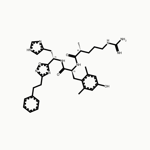 Cc1cc(O)cc(C)c1C[C@H](NC(=O)[C@H](C)CCCNC(=N)N)C(=O)N[C@@H](Cc1c[nH]cn1)c1nc(CCc2ccccc2)no1